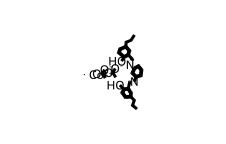 CC(=O)[O-].CC(=O)[O-].CCCc1ccc(O)c(C=Nc2cccc(N=Cc3cc(CCC)ccc3O)c2)c1.[Co+2]